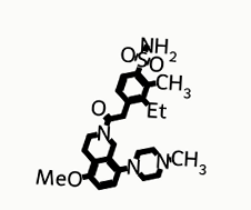 CCc1c(CC(=O)N2CCc3c(OC)ccc(N4CCN(C)CC4)c3C2)ccc(S(N)(=O)=O)c1C